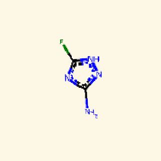 Nc1n[nH]c(F)n1